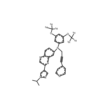 [2H]C([2H])([2H])Oc1cc(OC([2H])([2H])[2H])cc(N(CC#Cc2ccncc2)c2ccc3ncc(-c4cnn(C(C)C)c4)nc3c2)c1